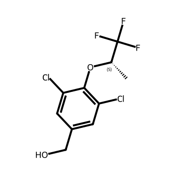 C[C@H](Oc1c(Cl)cc(CO)cc1Cl)C(F)(F)F